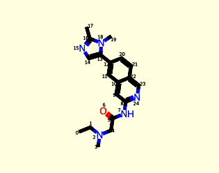 CCN(C)CC(=O)Nc1cc2cc(-c3cnc(C)n3C)ccc2cn1